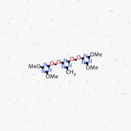 COc1nc(OC)nc(OCOc2nc(C)nc(OCOc3nc(OC)nc(OC)n3)n2)n1